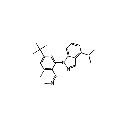 C/N=C\c1c(C)cc(C(C)(C)C)cc1-n1ncc2c(C(C)C)cccc21